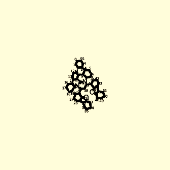 c1ccc(-c2ccccc2-c2cccc(-c3ccccc3)c2-c2nc(-c3cccc4c3oc3ccccc34)cc(-c3cccc4c3oc3ccccc34)n2)cc1